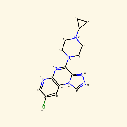 Clc1cnc2nc(N3CCN(C4CC4)CC3)c3nncn3c2c1